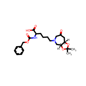 CC1(C)O[C@H]2CC(=O)CN(CCCCC(NC(=O)OCc3ccccc3)C(=O)O)C[C@H]2O1